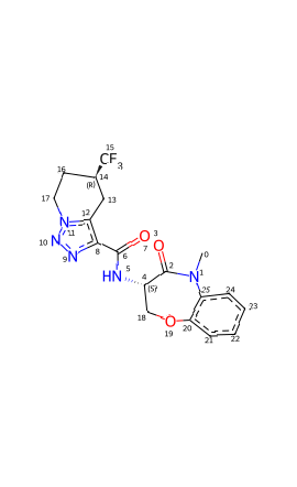 CN1C(=O)[C@@H](NC(=O)c2nnn3c2C[C@H](C(F)(F)F)CC3)COc2ccccc21